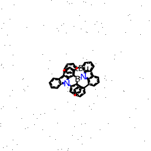 CC(C)(C)c1ccc2c3ccccc3n3c2c1B(n1c2c(-c4ccccc4)cccc2c2cccc(-c4ccccc4)c21)c1ccccc1-3